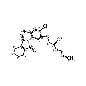 C=CCOC(=O)CSc1cc(N2C(=O)C3=C(CCCC3)C2=O)c(F)cc1Cl